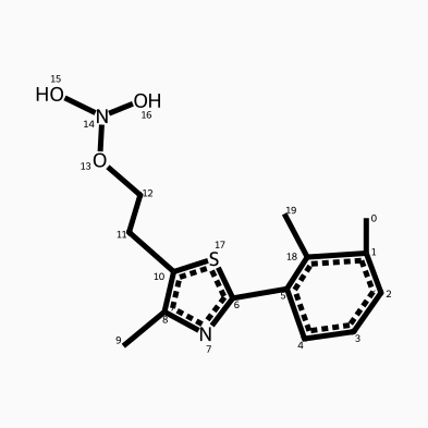 Cc1cccc(-c2nc(C)c(CCON(O)O)s2)c1C